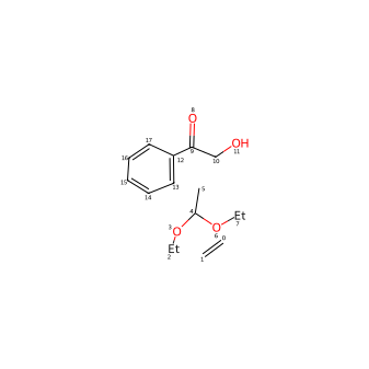 C=C.CCOC(C)OCC.O=C(CO)c1ccccc1